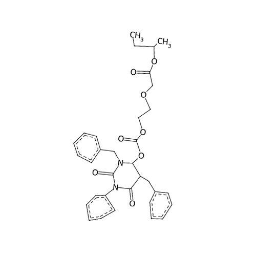 CCC(C)OC(=O)COCCOC(=O)OC1C(Cc2ccccc2)C(=O)N(c2ccccc2)C(=O)N1Cc1ccccc1